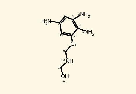 Nc1cc(N)c(N)c(OCNCO)c1